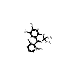 CC1(C)N=C(c2c(Cl)ccc[n+]2[O-])c2cc(Br)c(Cl)cc2O1